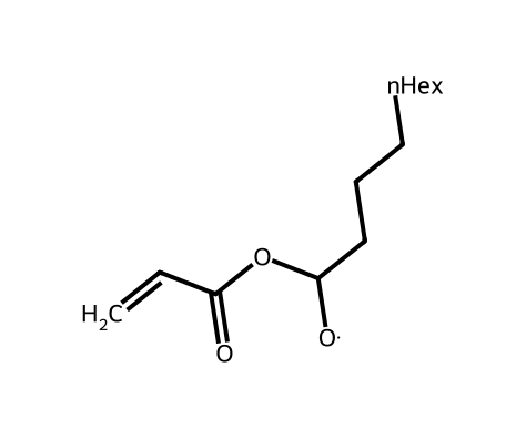 C=CC(=O)OC([O])CCCCCCCCC